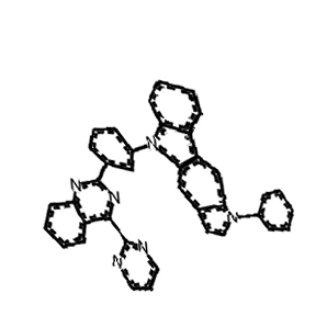 c1ccc(-n2ccc3cc4c(cc32)c2ccccc2n4-c2cccc(-c3nc(-c4ncccn4)c4ccccc4n3)c2)cc1